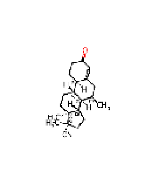 C[C@@H]1CC2=CC(=O)CC[C@@H]2[C@H]2CC[C@@]3(C)[C@@H](CC[C@]3(C)C#N)[C@@H]21